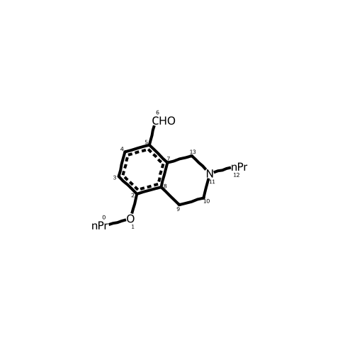 CCCOc1ccc(C=O)c2c1CCN(CCC)C2